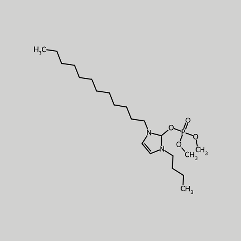 CCCCCCCCCCCCN1C=CN(CCCC)C1OP(=O)(OC)OC